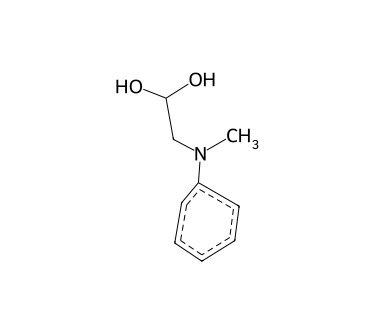 CN(CC(O)O)c1ccccc1